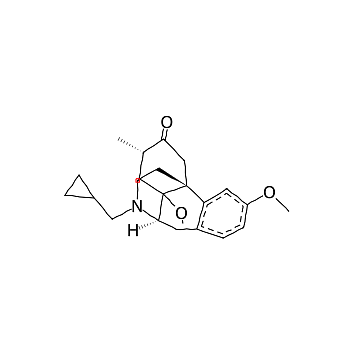 COc1ccc2c(c1)[C@]13CCN(CC4CC4)[C@H](C2)C1(OC)C[C@H](C)C(=O)C3